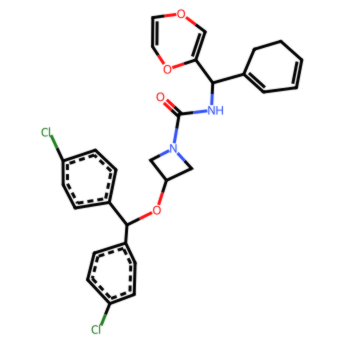 O=C(NC(C1=CC=CCC1)C1=COC=CO1)N1CC(OC(c2ccc(Cl)cc2)c2ccc(Cl)cc2)C1